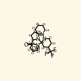 O=C(O)C1CCCN1C1(N2CCCC2)CC(C(F)(F)F)CCN1N1CCCCC1